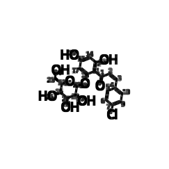 O=C(/C=C\c1ccc(Cl)cc1)c1c(O)cc(O)cc1O[C@@H]1O[C@H](CO)[C@H](O)[C@H](O)[C@H]1O